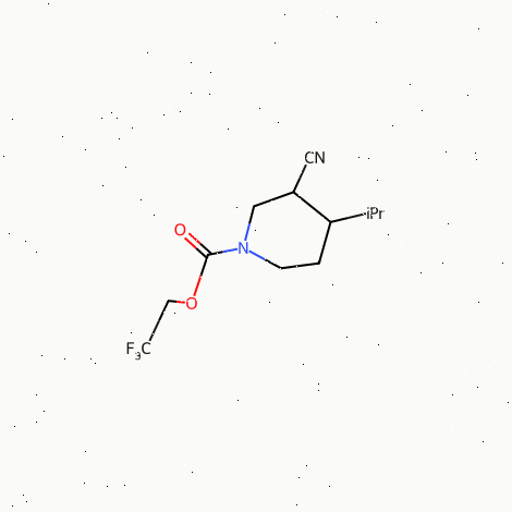 CC(C)C1CCN(C(=O)OCC(F)(F)F)CC1C#N